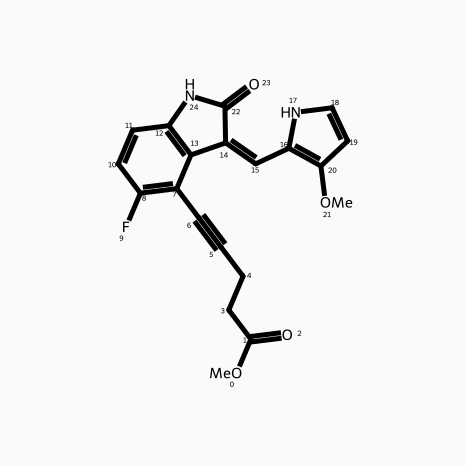 COC(=O)CCC#Cc1c(F)ccc2c1/C(=C/c1[nH]ccc1OC)C(=O)N2